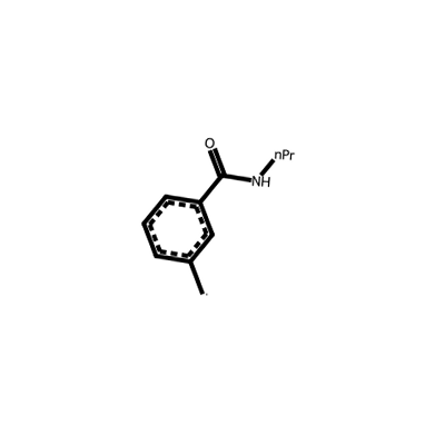 [CH2]c1cccc(C(=O)NCCC)c1